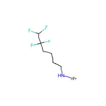 CCCNCCCCC(F)(F)C(F)F